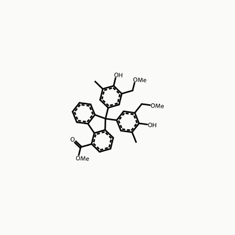 COCc1cc(C2(c3cc(C)c(O)c(COC)c3)c3ccccc3-c3c(C(=O)OC)cccc32)cc(C)c1O